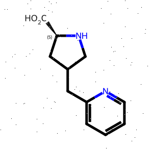 O=C(O)[C@@H]1CC(Cc2ccccn2)CN1